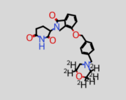 [2H]C1([2H])CN(Cc2ccc(COc3cccc4c3CN(C3CCC(=O)NC3=O)C4=O)cc2)C([2H])([2H])C([2H])([2H])O1